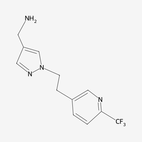 NCc1cnn(CCc2ccc(C(F)(F)F)nc2)c1